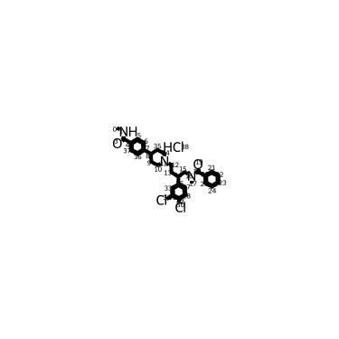 CNC(=O)c1ccc(C2CCN(CCC(CN(C)C(=O)c3ccccc3)c3ccc(Cl)c(Cl)c3)CC2)cc1.Cl